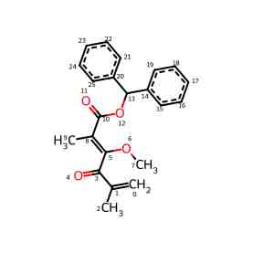 C=C(C)C(=O)C(OC)=C(C)C(=O)OC(c1ccccc1)c1ccccc1